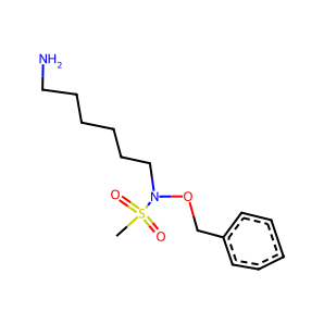 CS(=O)(=O)N(CCCCCCN)OCc1ccccc1